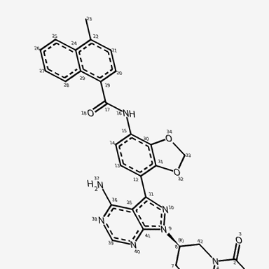 C=CC(=O)N1CCC[C@@H](n2nc(-c3ccc(NC(=O)c4ccc(C)c5ccccc45)c4c3OCO4)c3c(N)ncnc32)C1